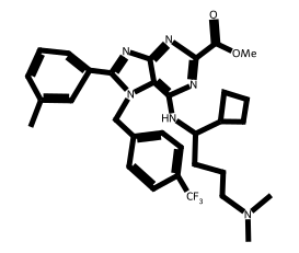 COC(=O)c1nc(NC(CCCN(C)C)C2CCC2)c2c(n1)nc(-c1cccc(C)c1)n2Cc1ccc(C(F)(F)F)cc1